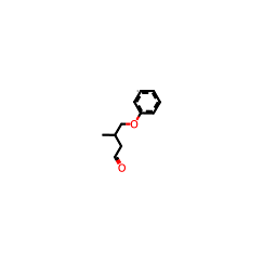 CC(CC=O)COc1c[c]ccc1